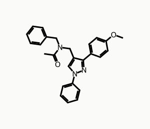 COc1ccc(-c2nn(-c3ccccc3)cc2CN(Cc2ccccc2)C(C)=O)cc1